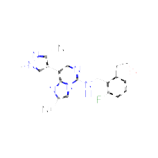 Cn1cc(-c2cnc(NCc3c(F)ccc4c3CCO4)n3cc(C#N)nc23)c(C#N)n1